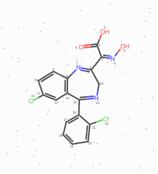 O=C(O)/C(=N\O)C1=Nc2ccc(Cl)cc2C(c2ccccc2Cl)=NC1